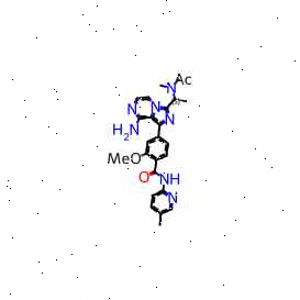 COc1cc(-c2nc([C@H](C)N(C)C(C)=O)n3ccnc(N)c23)ccc1C(=O)Nc1ccc(C)cn1